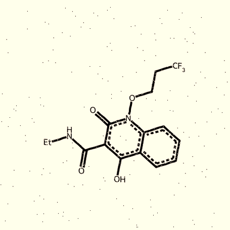 CCNC(=O)c1c(O)c2ccccc2n(OCCC(F)(F)F)c1=O